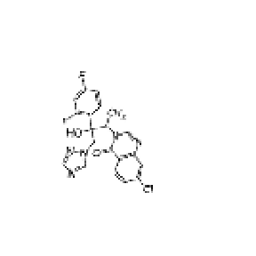 CC(n1cnc2cc(Cl)ccc2c1=O)C(O)(Cn1cncn1)c1ccc(F)cc1F